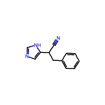 N#CC(Cc1ccccc1)c1cnc[nH]1